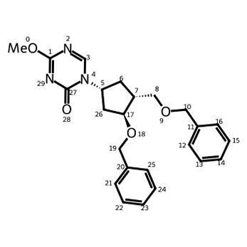 COc1ncn([C@@H]2C[C@H](COCc3ccccc3)[C@@H](OCc3ccccc3)C2)c(=O)n1